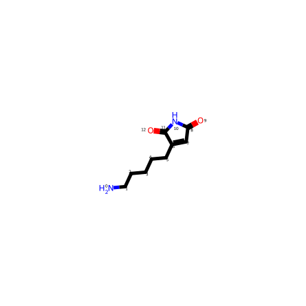 NCCCCCC1=CC(=O)NC1=O